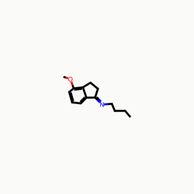 CCCCN=C1CCc2c(OC)cccc21